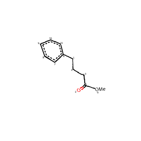 COC(=O)[CH]CCc1ccccc1